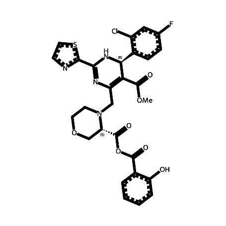 COC(=O)C1=C(CN2CCOC[C@H]2C(=O)OC(=O)c2ccccc2O)N=C(c2nccs2)N[C@H]1c1ccc(F)cc1Cl